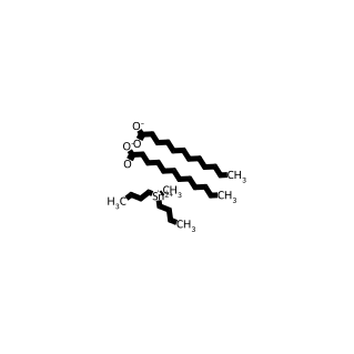 CCCCCCCCCCCC(=O)[O-].CCCCCCCCCCCC(=O)[O-].CCC[CH2][Sn+2]([CH3])[CH2]CCC